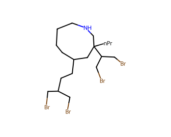 CCCC1(C(CBr)CBr)CNCCCCC(CCC(CBr)CBr)C1